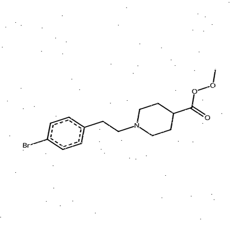 COOC(=O)C1CCN(CCc2ccc(Br)cc2)CC1